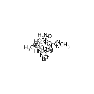 Cc1ncc(-c2cc3c(C(N)=O)nn(CC(=O)N4[C@H](C(=O)Nc5nc(Br)c(F)cc5C)C[C@@]5(C)C[C@@H]45)c3c(CO)n2)cn1